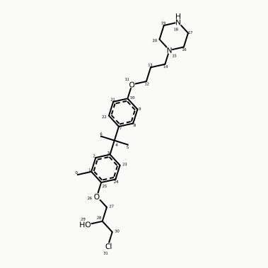 Cc1cc(C(C)(C)c2ccc(OCCCN3CCNCC3)cc2)ccc1OCC(O)CCl